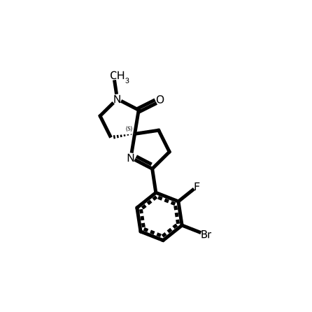 CN1CC[C@@]2(CCC(c3cccc(Br)c3F)=N2)C1=O